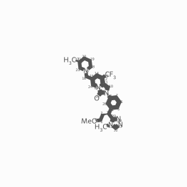 COCC[C@@H](c1cccc(-n2cc3c(C(F)(F)F)cc(CN4CCC[C@H](C)C4)cn3c2=O)c1)c1nncn1C